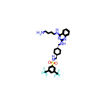 NCCCCNc1nc(NC[C@H]2CC[C@H](CNS(=O)(=O)c3cc(C(F)(F)F)cc(C(F)(F)F)c3)CC2)nc2ccccc12